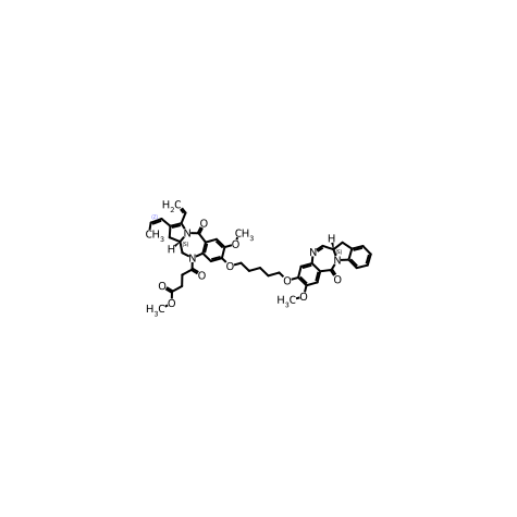 C=CC1=C(/C=C\C)C[C@H]2CN(C(=O)CCC(=O)OC)c3cc(OCCCCCOc4cc5c(cc4OC)C(=O)N4c6ccccc6C[C@H]4C=N5)c(OC)cc3C(=O)N12